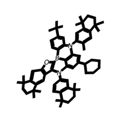 Cc1cc2c(cc1N1c3cc(C(C)(C)C)ccc3B3c4oc5cc6c(cc5c4N(c4ccc5c(c4)C(C)(C)CCC5(C)C)c4cc(C5CCCCC5)cc1c43)C(C)(C)CCC6(C)C)C(C)(C)CCC2(C)C